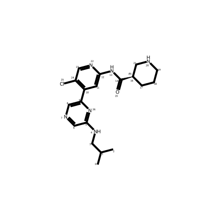 CC(C)CNc1cncc(-c2cc(NC(=O)[C@@H]3CCCNC3)ncc2Cl)n1